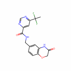 CC(F)(F)c1cc(C(=O)NCc2ccc3c(c2)NC(=O)CO3)ncn1